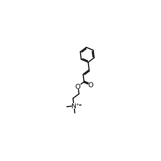 C[N+](C)(C)CCOC(=O)/C=C/c1ccccc1